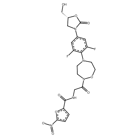 O=C(NCC(=O)N1CCN(c2c(F)cc(N3C[C@H](CO)OC3=O)cc2F)CCO1)c1ccc([N+](=O)[O-])o1